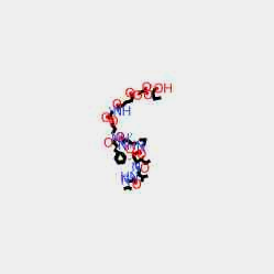 CCC(CO)OC(COC(=O)CCCC(=O)N[C@@H](C)C(=O)OCCCNC(=O)[C@H](Cc1ccccc1)NC(=O)[C@H](C)[C@@H](OC)[C@@H]1CCCN1C(=O)C[C@@H](C)[C@H]([C@@H](C)CC)N(C)C(=O)[C@@H](NC(=O)[C@H](C(C)C)N(C)C)C(C)C)OC